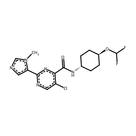 Cn1cncc1-c1ncc(Cl)c(C(=O)N[C@H]2CC[C@H](OC(F)F)CC2)n1